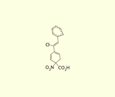 O=C(O)C1([N+](=O)[O-])C=CC(C(Cl)=Cc2ccccc2)=CC1